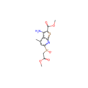 COC(=O)C[S+]([O-])c1cc(C)c2c(N)c(C(=O)OC)sc2n1